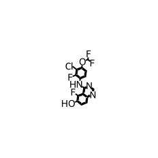 Oc1ccc2ncnc(Nc3ccc(OC(F)F)c(Cl)c3F)c2c1F